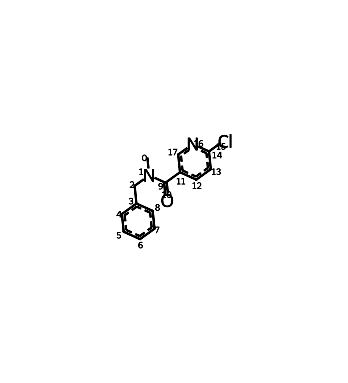 CN(Cc1ccccc1)C(=O)c1ccc(Cl)nc1